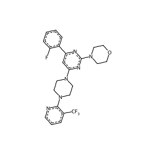 Fc1ccccc1-c1cc(N2CCN(c3ncccc3C(F)(F)F)CC2)nc(N2CCOCC2)n1